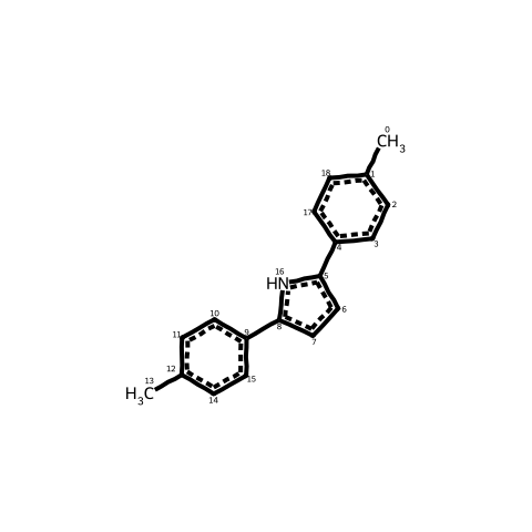 Cc1ccc(-c2ccc(-c3ccc(C)cc3)[nH]2)cc1